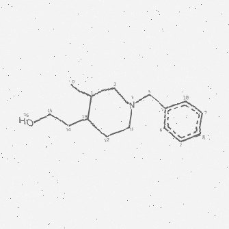 CC1CN(Cc2ccccc2)CCC1CCO